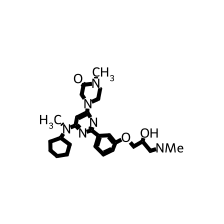 CNCC(O)COc1cccc(-c2nc(N3CCN(C)C(=O)C3)cc(N(C)C3CCCCC3)n2)c1